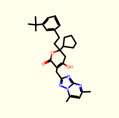 Cc1cc(C)n2nc(CC3=C(O)CC(CCc4cccc(C(C)(C)C)c4)(C4CCCC4)OC3=O)nc2n1